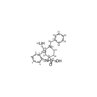 COc1ccccc1NC1(C(=O)O)CCN(Cc2ccccc2)CC1.[LiH]